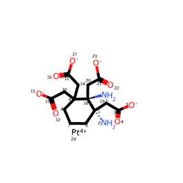 N[C@]1(CC(=O)[O-])CCCC(CC(=O)[O-])(CC(=O)[O-])[C@]1(N)CC(=O)[O-].[Pt+4]